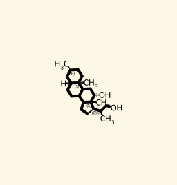 C[C@@H]1CC[C@]2(C)C3C[C@H](O)[C@@]4(C)C(CC[C@@H]4[C@H](C)CO)C3CC[C@@H]2C1